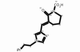 CC(C)CCn1cnc(/C=C2\CCCN(C(=O)O)C2=O)c1